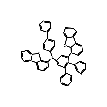 c1ccc(-c2ccc(N(c3cc(-c4ccccc4)c(-c4ccccc4)c(-c4cccc5c4oc4ccccc45)c3)c3cccc4c3sc3ccccc34)cc2)cc1